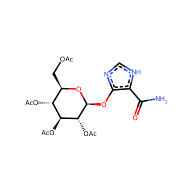 CC(=O)OC[C@H]1O[C@@H](Oc2nc[nH]c2C(N)=O)[C@H](OC(C)=O)[C@@H](OC(C)=O)[C@@H]1OC(C)=O